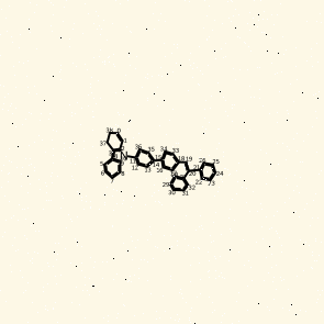 C1=Cc2c(c3ccccc3n2-c2ccc(-c3ccc(C=C(c4ccccc4)c4ccccc4)cc3)cc2)CC1